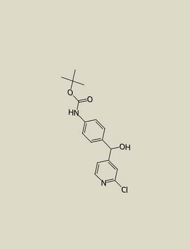 CC(C)(C)OC(=O)Nc1ccc(C(O)c2ccnc(Cl)c2)cc1